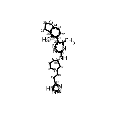 Cc1nc(N[C@@H]2CCCN(CCc3nnn[nH]3)C2)nnc1-c1ccc2c(c1O)CCO2